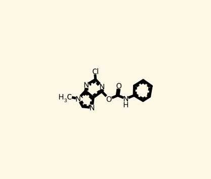 Cn1cnc2c(OC(=O)Nc3ccccc3)nc(Cl)nc21